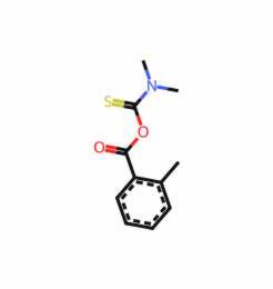 Cc1ccccc1C(=O)OC(=S)N(C)C